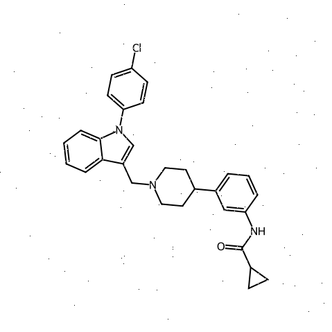 O=C(Nc1cccc(C2CCN(Cc3cn(-c4ccc(Cl)cc4)c4ccccc34)CC2)c1)C1CC1